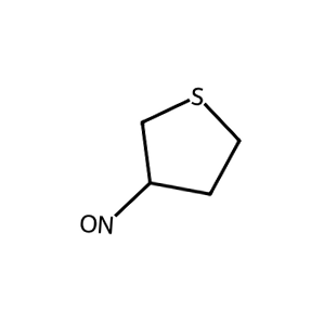 O=NC1CCSC1